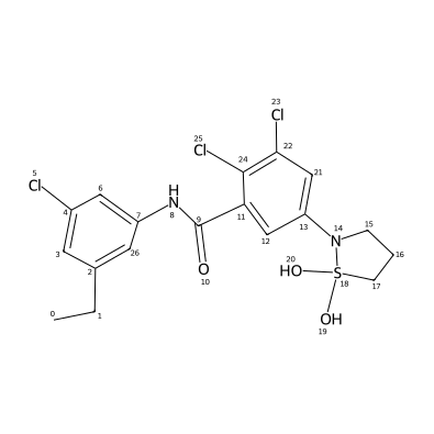 CCc1cc(Cl)cc(NC(=O)c2cc(N3CCCS3(O)O)cc(Cl)c2Cl)c1